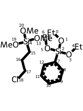 CCO[Si](OCC)(OCC)c1ccccc1.CO[Si](CCCCl)(OC)OC